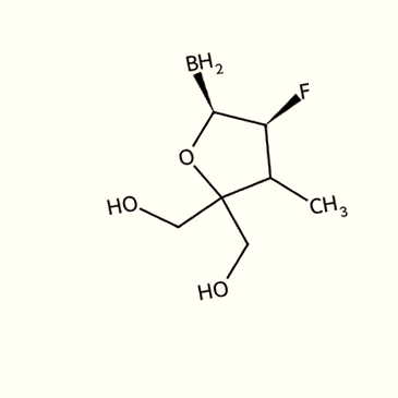 B[C@@H]1OC(CO)(CO)C(C)[C@@H]1F